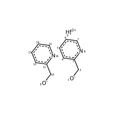 [Hf+2].[O-]Cc1ccccn1.[O-]Cc1ccccn1